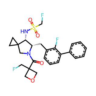 O=C(N1CC2(CC2)[C@H](NS(=O)(=O)CF)[C@@H]1Cc1cccc(-c2ccccc2)c1F)C1(CF)COC1